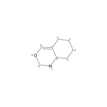 C1=C2CCCCC2[N]CO1